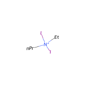 CCC[N+](I)(I)CC